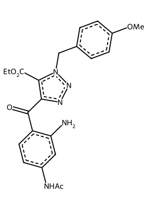 CCOC(=O)c1c(C(=O)c2ccc(NC(C)=O)cc2N)nnn1Cc1ccc(OC)cc1